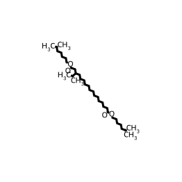 CC(C)CCCCCOC(=O)CCCCCCCCCCCCCC(CC(=O)OCCCCCC(C)C)C(C)C